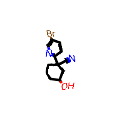 N#CC1(c2ccc(Br)cn2)CCCC(O)C1